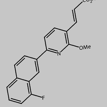 COc1nc(-c2ccc3cccc(F)c3c2)ccc1/C=C/C(=O)O